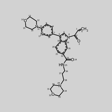 C=CC(=O)n1cc(-c2ccc(N3CCOCC3)nc2)c2ccc(C(=O)NCCCN3CCOCC3)cc21